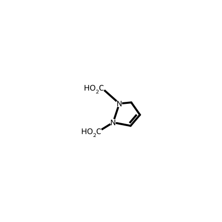 O=C(O)N1C=CCN1C(=O)O